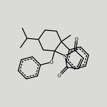 CC(C)C1CCC(C)(c2ccccc2)C(Oc2ccccc2)(N2C(=O)C=CC2=O)C1